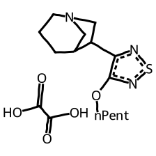 CCCCCOc1nsnc1C1CN2CCCC1C2.O=C(O)C(=O)O